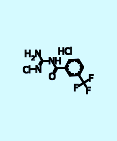 Cl.NC(=NCl)NC(=O)c1cccc(C(F)(F)F)c1